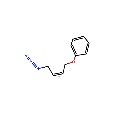 [N-]=[N+]=NC/C=C\COc1ccccc1